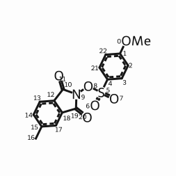 COc1ccc(S(=O)(=O)ON2C(=O)c3ccc(C)cc3C2=O)cc1